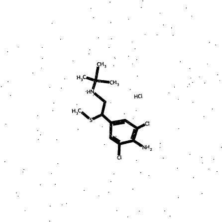 CSC(CNC(C)(C)C)c1cc(Cl)c(N)c(Cl)c1.Cl